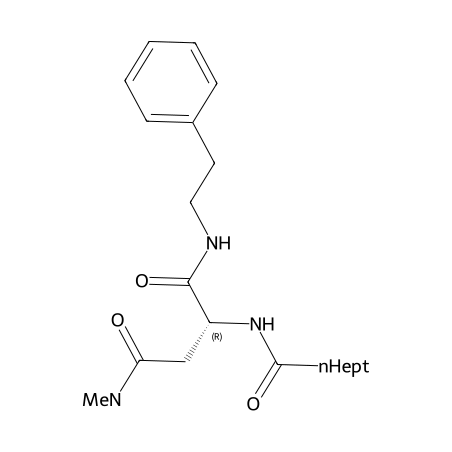 CCCCCCCC(=O)N[C@H](CC(=O)NC)C(=O)NCCc1ccccc1